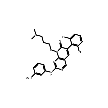 COc1cccc(Nc2ncc3cc(-c4c(Cl)cccc4Cl)c(=O)n(OCCCN(C)C)c3n2)c1